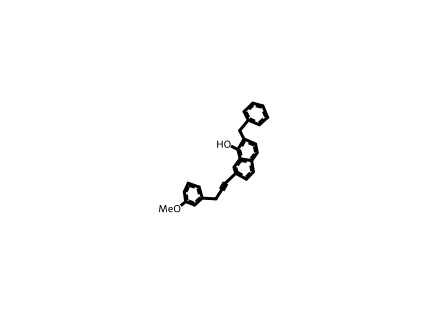 COc1cccc(CC#Cc2ccc3ccc(Cc4ccccc4)c(O)c3c2)c1